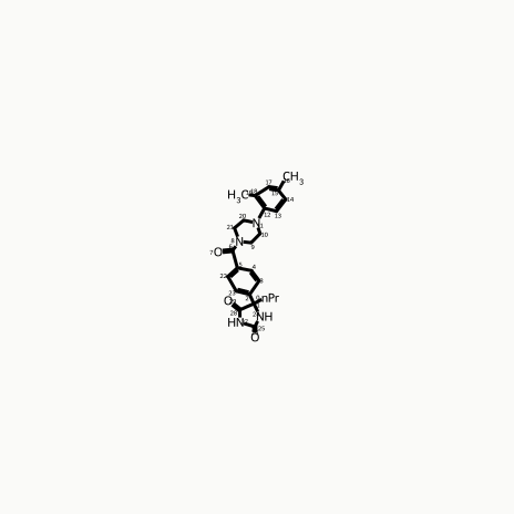 CCCC1(c2ccc(C(=O)N3CCN(c4ccc(C)cc4C)CC3)cc2)NC(=O)NC1=O